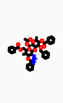 CC(=O)OC[C@@H]1OC(C)C(OC(=O)c2ccccc2)C(OCc2ccccc2)[C@@H]1OC1OC(COC(=O)c2ccccc2)C(C)[C@H](OCc2ccccc2)[C@@H]1N=[N+]=[N-]